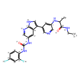 CC(C)C(Nc1cncc(-c2c[nH]c3ncc(NC(=O)Nc4ccc(F)cc4F)cc23)c1)C(=O)NCC(F)(F)F